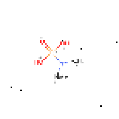 CNN(C)P(=O)(O)O